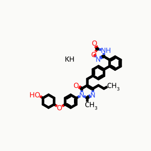 CCCc1nc(C)n(-c2ccc(OC3CCC(O)CC3)cc2)c(=O)c1Cc1ccc(-c2ccccc2-c2noc(=O)[nH]2)cc1.[KH]